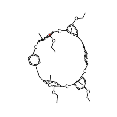 CCOc1cc2c(C)c(c1)Cc1cc(C)c(cc1OCC)Cc1ccc(cc1)Cc1cc(OCC)c(cc1C)Cc1cc(OCC)cc(c1C)Cc1ccc(cc1)C2